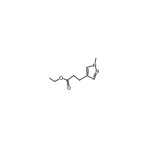 CCOC(=O)CCc1cnn(C)c1